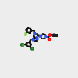 CC(C)(C)OC(=O)N1CCN(CCN(Cc2cccc(F)c2)Cc2nccn2Cc2cc(Cl)cc(Cl)c2)CC1